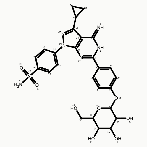 N=c1[nH]c(-c2ccc(OC3OC(CO)C(O)C(O)C3O)cc2)nc2c1c(C1CC1)nn2-c1ccc(S(N)(=O)=O)cc1